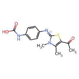 CC(=O)c1s/c(=N/c2ccc(NC(=O)O)cc2)n(C)c1C